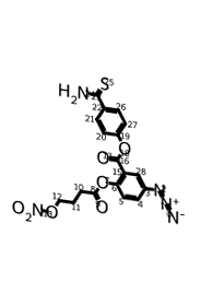 [N-]=[N+]=Nc1ccc(OC(=O)CCCO[N+](=O)[O-])c(C(=O)Oc2ccc(C(N)=S)cc2)c1